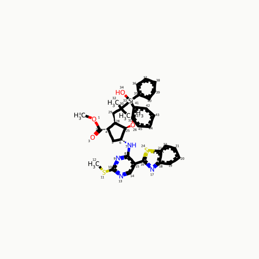 COC(=O)[C@H]1C[C@@H](Nc2nc(SC)ncc2-c2nc3ccccc3s2)[C@H](OC)[C@@H]1CC(C)(C)[Si](O)(c1ccccc1)c1ccccc1